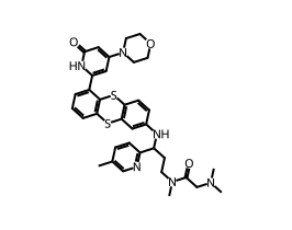 Cc1ccc(C(CCN(C)C(=O)CN(C)C)Nc2ccc3c(c2)Sc2cccc(-c4cc(N5CCOCC5)cc(=O)[nH]4)c2S3)nc1